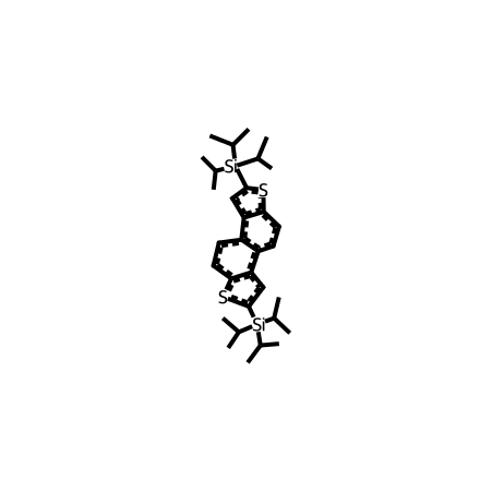 CC(C)[Si](c1cc2c(ccc3c4cc([Si](C(C)C)(C(C)C)C(C)C)sc4ccc23)s1)(C(C)C)C(C)C